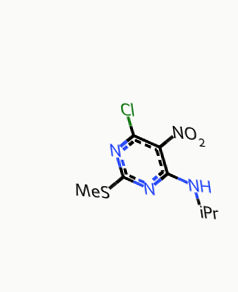 CSc1nc(Cl)c([N+](=O)[O-])c(NC(C)C)n1